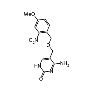 COc1ccc(COCc2c[nH]c(=O)nc2N)c([N+](=O)[O-])c1